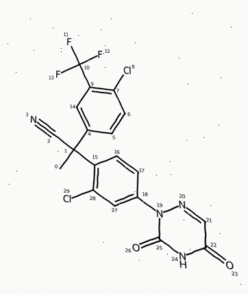 CC(C#N)(c1ccc(Cl)c(C(F)(F)F)c1)c1ccc(-n2ncc(=O)[nH]c2=O)cc1Cl